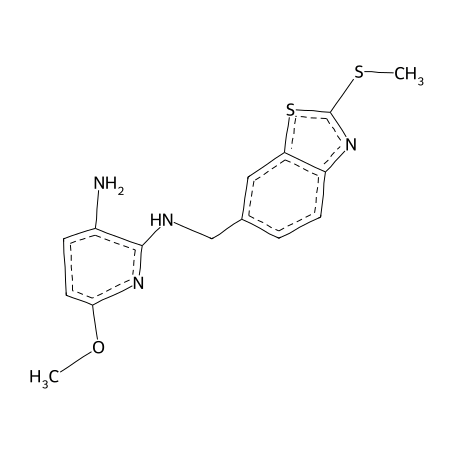 COc1ccc(N)c(NCc2ccc3nc(SC)sc3c2)n1